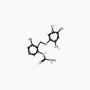 CCc1cc(C(F)(F)F)c(OCc2c(Br)cccc2OC(=O)OC)cc1F